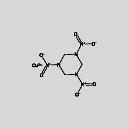 O=[N+]([O-])N1CN([N+](=O)[O-])CN([N+](=O)[O-])C1.[Cu+2]